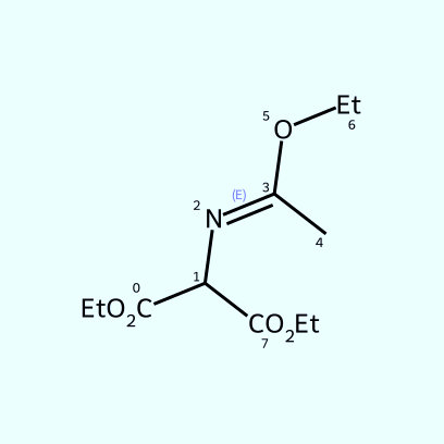 CCOC(=O)C(/N=C(\C)OCC)C(=O)OCC